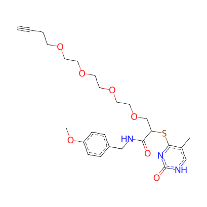 C#CCCOCCOCCOCCOCC(Sc1nc(=O)[nH]cc1C)C(=O)NCc1ccc(OC)cc1